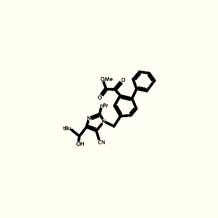 CCCc1nc(C(O)C(C)(C)C)c(C#N)n1Cc1ccc(-c2ccccc2)c(C(=O)C(=O)OC)c1